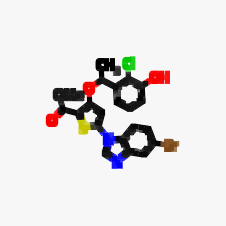 COC(=O)c1sc(-n2cnc3cc(Br)ccc32)cc1OC(C)c1cccc(O)c1Cl